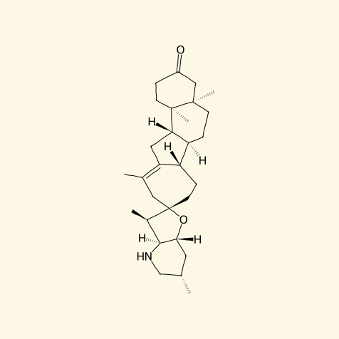 CC1=C2C[C@H]3[C@@H](CC[C@]4(C)CC(=O)CC[C@]34C)[C@@H]2CC[C@@]2(C1)O[C@@H]1C[C@H](C)CN[C@H]1[C@H]2C